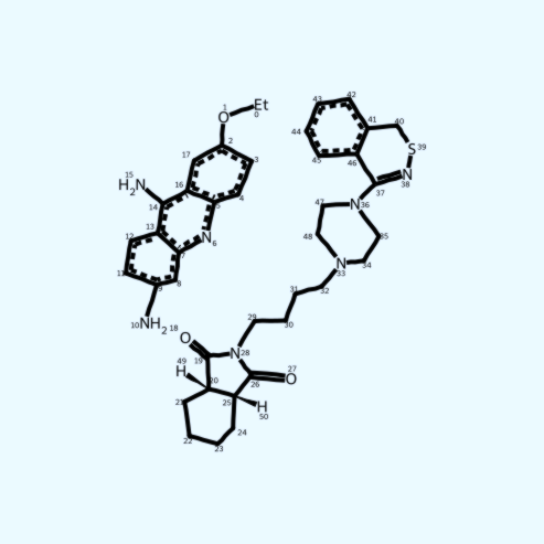 CCOc1ccc2nc3cc(N)ccc3c(N)c2c1.O=C1[C@H]2CCCC[C@H]2C(=O)N1CCCCN1CCN(C2=NSCc3ccccc32)CC1